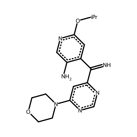 CC(C)Oc1cc(C(=N)c2cc(N3CCOCC3)ncn2)c(N)cn1